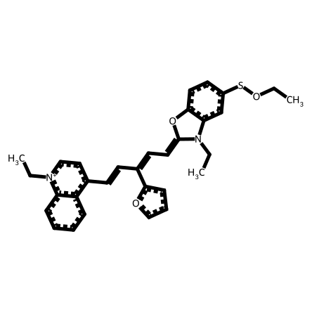 CCOSc1ccc2c(c1)N(CC)/C(=C/C=C(/C=C/c1cc[n+](CC)c3ccccc13)c1ccco1)O2